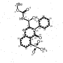 C[C@H](NC(=O)OC(C)(C)C)c1nc2cccc(S(C)(=O)=O)c2c(=O)n1-c1ccccc1